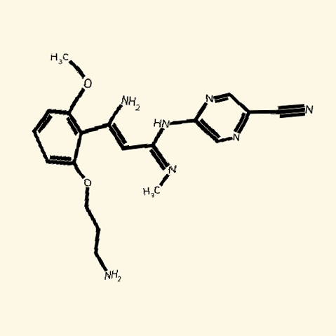 C/N=C(\C=C(/N)c1c(OC)cccc1OCCCN)Nc1cnc(C#N)cn1